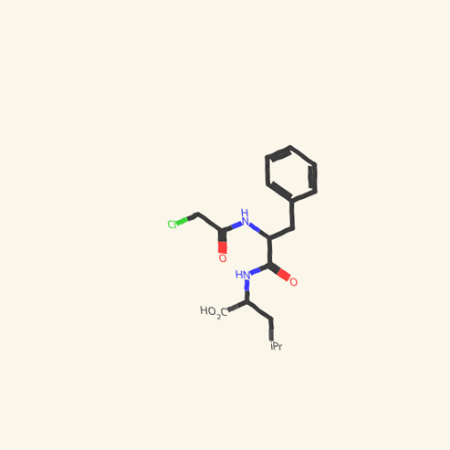 CC(C)CC(NC(=O)C(Cc1ccccc1)NC(=O)CCl)C(=O)O